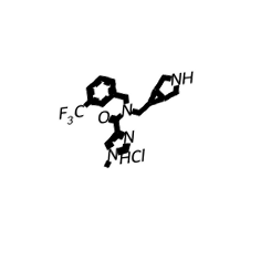 Cl.Cn1cnc(C(=O)N(Cc2cccc(C(F)(F)F)c2)CC2C3CNCC32)c1